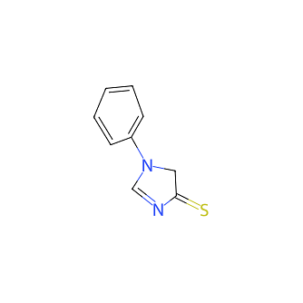 S=C1CN(c2ccccc2)C=N1